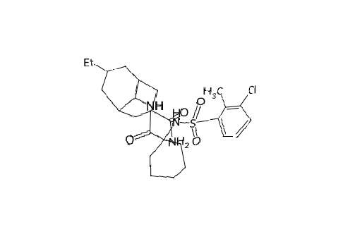 CCC1CC2CC(C(N)=O)CC(C1)C2NC(=O)C1(NS(=O)(=O)c2cccc(Cl)c2C)CCCCC1